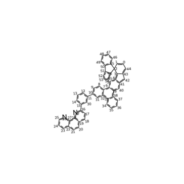 C1=CC2(C3=c4cc5c6ccc(-c7cccc(-c8ccc9ccc%10cccnc%10c9n8)c7)cc6c6ccccc6c5cc4=CC3=C1)c1ccccc1-c1ccccc12